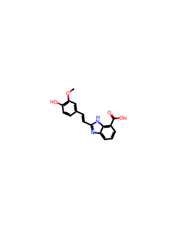 COc1cc(C=Cc2nc3cccc(C(=O)O)c3[nH]2)ccc1O